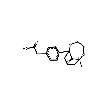 C[C@]12CCCC(c3ccc(CC(=O)O)cc3)(OCCO1)C2=O